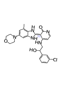 Cc1cc(N2CCOCC2)cc2c1N/C(=C1\C(=O)N=CC=C1NCC(O)c1cccc(Cl)c1)N2